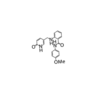 COc1ccc(NC(=O)c2ccccc2NCc2ccc(=O)[nH]c2)cc1